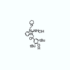 CC(C)(C)c1cc(C(=O)Cn2c(=N)n(CCN3CCCCC3)c3ccccc32)cc(C(C)(C)C)c1O.Cl